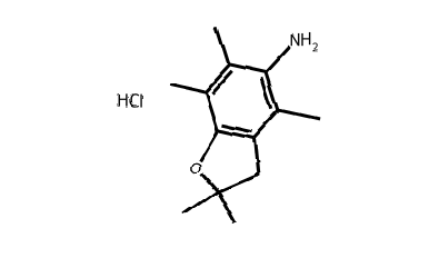 Cc1c(C)c2c(c(C)c1N)CC(C)(C)O2.Cl